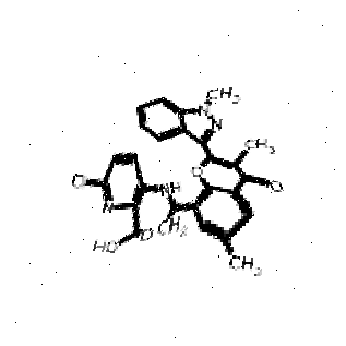 Cc1cc(C(C)Nc2ccc(Cl)nc2C(=O)O)c2oc(-c3nn(C)c4ccccc34)c(C)c(=O)c2c1